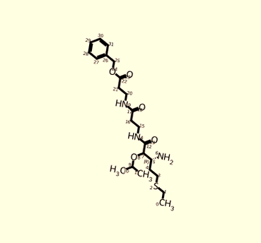 CCSCC[C@@H](N)C(OC(C)C)C(=O)NCCC(=O)NCCC(=O)OCc1ccccc1